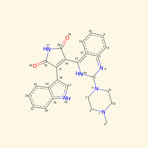 CN1CCN(C2N=c3ccccc3=C(C3=C(c4c[nH]c5ccccc45)C(=O)NC3=O)N2)CC1